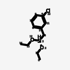 CCO[SiH](Cc1cccc(Cl)c1)OCC